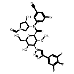 CO[C@@H]1[C@@H](n2cc(-c3cc(F)c(F)c(F)c3)nn2)[C@@H](O)[C@@H](CO)O[C@H]1C(=O)N(c1cc(Br)cc(C#N)c1)[C@@H]1CN(C=O)C[C@H]1O